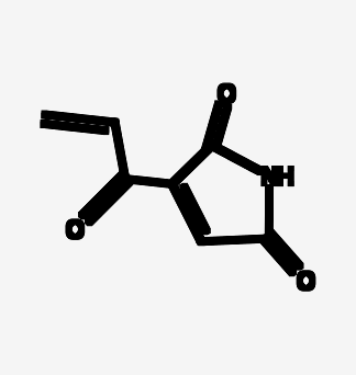 C=CC(=O)C1=CC(=O)NC1=O